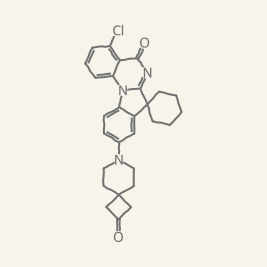 O=C1CC2(CCN(c3ccc4c(c3)C3(CCCCC3)c3nc(=O)c5c(Cl)cccc5n3-4)CC2)C1